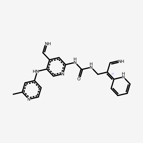 Cc1cc(Nc2cnc(NC(=O)NC/C(C=N)=C3\C=CC=CN3)cc2C=N)ccn1